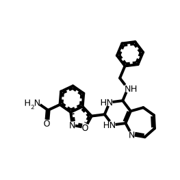 NC(=O)c1cccc2c(C3NC4=C(CC=CC=N4)C(NCc4ccccc4)N3)onc12